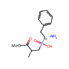 COC(=O)C(C)CP(=O)(O)[C@@H](N)Cc1ccccc1